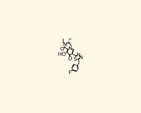 CC[C@@H]1Cn2cc(-c3nnc(Cc4ccc(F)cc4)s3)c(=O)c(O)c2C(=O)N1CC